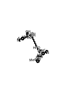 COc1cccc(F)c1-c1nccc(C(=O)Nc2ccc(-c3cnccc3C#N)cc2N2CCN(CC(=O)NCCCCCCCCCC(=O)N[C@H](C(=O)N3C[C@H](O)C[C@H]3C(=O)NCc3ccc(-c4scnc4C)cc3)C(C)(C)C)CC2)n1